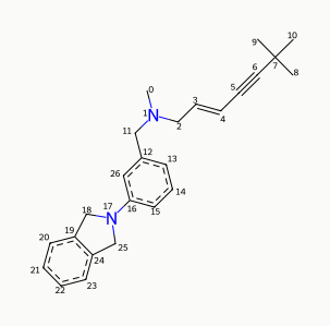 CN(CC=CC#CC(C)(C)C)Cc1cccc(N2Cc3ccccc3C2)c1